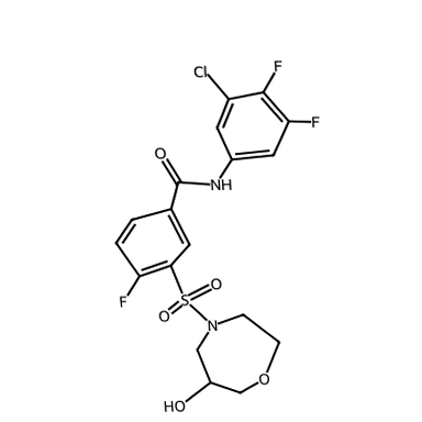 O=C(Nc1cc(F)c(F)c(Cl)c1)c1ccc(F)c(S(=O)(=O)N2CCOCC(O)C2)c1